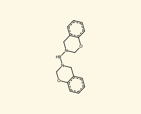 B(N1COc2ccccc2C1)N1COc2ccccc2C1